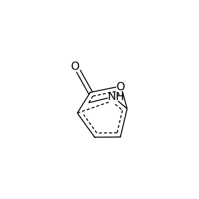 O=c1oc2ccc1[nH]2